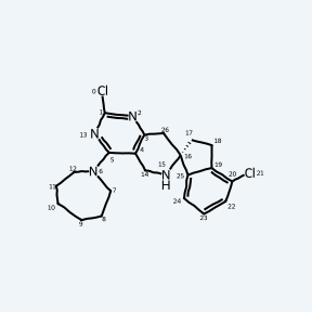 Clc1nc2c(c(N3CCCCCC3)n1)CN[C@@]1(CCc3c(Cl)cccc31)C2